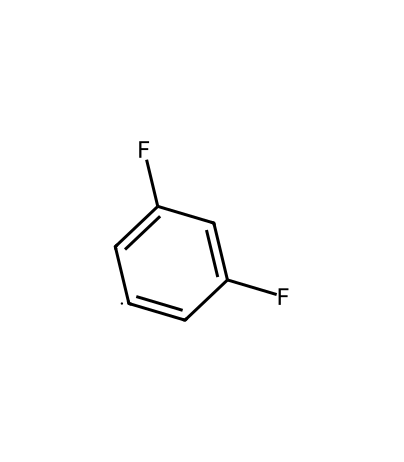 Fc1c[c]cc(F)c1